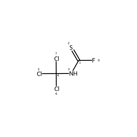 FC(=S)NC(Cl)(Cl)Cl